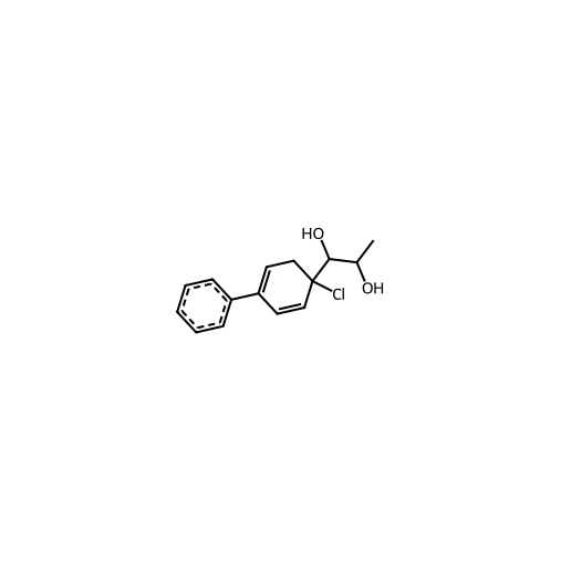 CC(O)C(O)C1(Cl)C=CC(c2ccccc2)=CC1